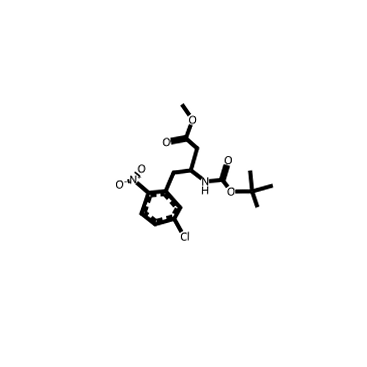 COC(=O)CC(Cc1cc(Cl)ccc1[N+](=O)[O-])NC(=O)OC(C)(C)C